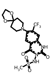 CS(=O)(=O)Nn1c(=O)[nH]c2cc(C(F)(F)F)c(N3CCC4(CC3)OCCO4)cc2c1=O